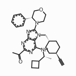 C#C[C@H]1CC[C@H](Cn2c(N3CCOC[C@H]3c3ccccc3)nc3nc(C(C)=O)nc(N[C@H](C)C4CCC4)c32)CC1